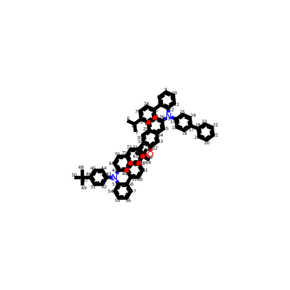 CC(C)c1ccc(-c2ccccc2N(c2ccc(-c3ccccc3)cc2)c2ccc3cc4c(cc3c2)oc2cc3cc(N(c5ccc(C(C)(C)C)cc5)c5ccccc5-c5ccc(C(C)(C)C)cc5)ccc3cc24)cc1